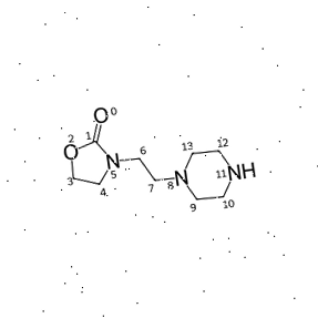 O=C1OCCN1CCN1CCNCC1